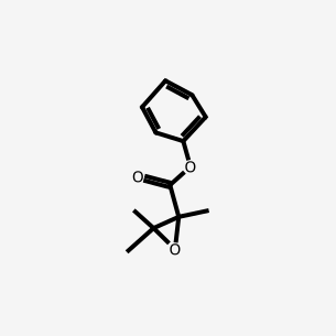 CC1(C)OC1(C)C(=O)Oc1ccccc1